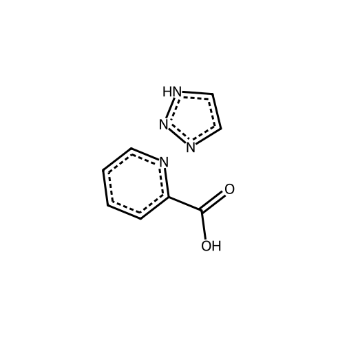 O=C(O)c1ccccn1.c1c[nH]nn1